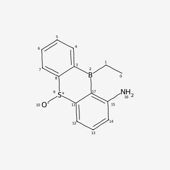 CCB1c2ccccc2[S+]([O-])c2cccc(N)c21